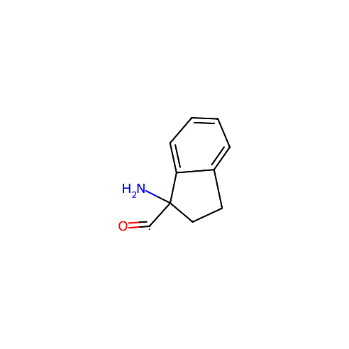 NC1([C]=O)CCc2ccccc21